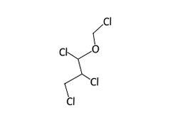 ClCOC(Cl)C(Cl)CCl